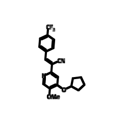 COc1cnc(C(C#N)=Cc2ccc(C(F)(F)F)cc2)cc1OC1CCCC1